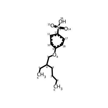 CCCCC(CC)COc1ccc(S(=O)(=O)O)cc1